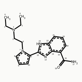 CCN(CC)CCn1cccc1-c1nc2c(C(N)=O)cccc2[nH]1